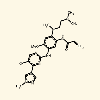 C=CC(=O)Nc1cc(Nc2ncc(Cl)c(-c3cnn(C)c3)n2)c(OC)cc1N(C)CCN(C)C